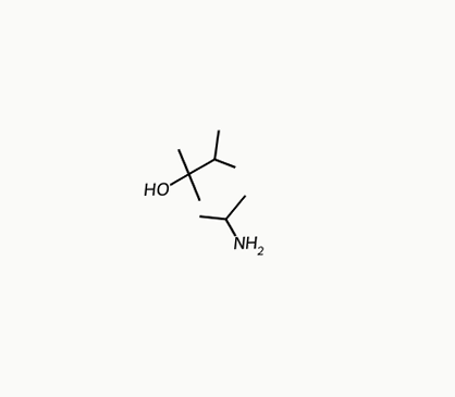 CC(C)C(C)(C)O.CC(C)N